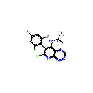 C[C@@H](Nc1c(-c2c(F)cc(F)cc2F)c(Cl)nc2nncnc12)C(F)(F)F